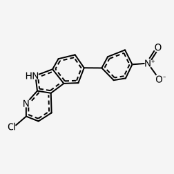 O=[N+]([O-])c1ccc(-c2ccc3[nH]c4nc(Cl)ccc4c3c2)cc1